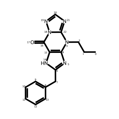 CCCn1c2nc(Cc3ccccc3)[nH]c2c(=O)n2ncnc12